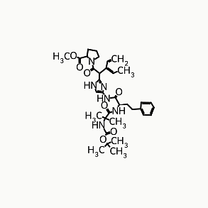 C=CC(=CC)C(C(=O)N1CCCC1C(=O)OC)c1nc(NC(=O)[C@@H](CCc2ccccc2)NC(=O)C(C)(C)NC(=O)OC(C)(C)C)c[nH]1